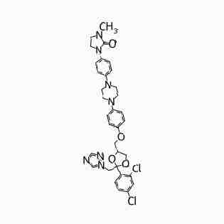 CN1CCN(c2ccc(N3CCN(c4ccc(OCC5COC(Cn6cncn6)(c6ccc(Cl)cc6Cl)O5)cc4)CC3)cc2)C1=O